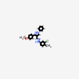 COc1ccc(-c2nn(-c3ccccc3)cc2/C=N/Nc2ccc(C)c(Cl)c2)cc1